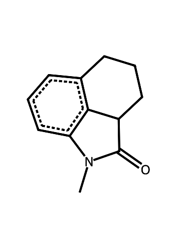 CN1C(=O)C2CCCc3cccc1c32